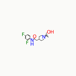 C[C@H](CO)N1CCC(CC(=O)Nc2ccc(F)cc2F)CC1